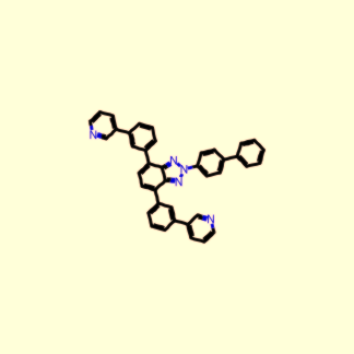 c1ccc(-c2ccc(-n3nc4c(-c5cccc(-c6cccnc6)c5)ccc(-c5cccc(-c6cccnc6)c5)c4n3)cc2)cc1